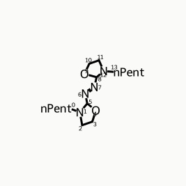 CCCCCN1CCOC1N=NC1OCCN1CCCCC